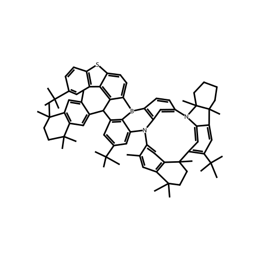 Cc1cc2c(cc1C1c3cc(C(C)(C)C)cc4c3B(c3ccc5cc3N4c3cc4c(cc3C)C(C)(C)CCC4(C)c3cc4c(cc3C(C)(C)C)C3(C)CCCCC3(C)N54)c3ccc4sc5ccc(C(C)(C)C)cc5c4c31)C(C)(C)CCC2(C)C